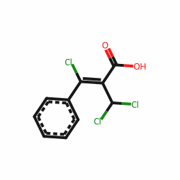 O=C(O)C(=C(Cl)c1ccccc1)C(Cl)Cl